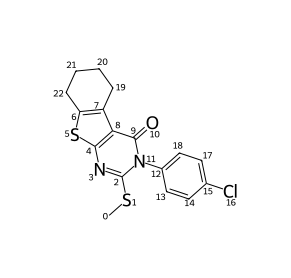 CSc1nc2sc3c(c2c(=O)n1-c1ccc(Cl)cc1)CCCC3